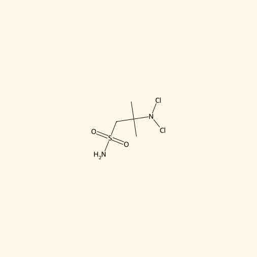 CC(C)(CS(N)(=O)=O)N(Cl)Cl